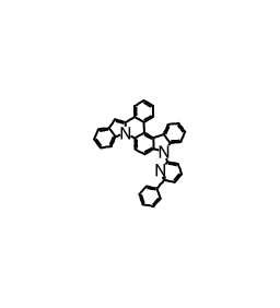 c1ccc(-c2cccc(-n3c4ccccc4c4c5c6ccccc6c6cc7ccccc7n6c5ccc43)n2)cc1